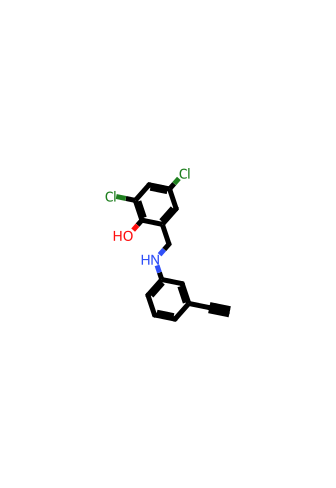 C#Cc1cccc(NCc2cc(Cl)cc(Cl)c2O)c1